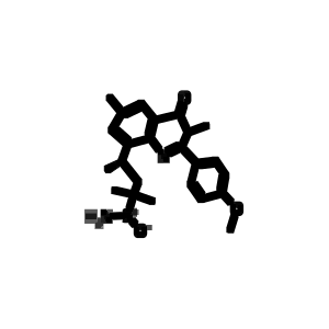 COc1ccc(C2=Nc3c(cc(C)cc3[C@H](C)CC(C)(C)[S+](N)[O-])C(=O)C2C)cc1